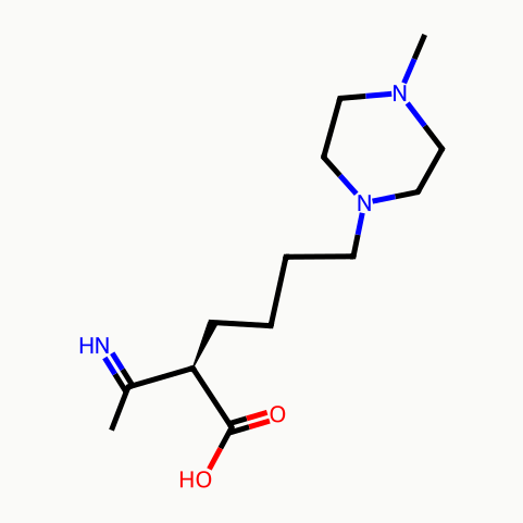 CC(=N)[C@@H](CCCCN1CCN(C)CC1)C(=O)O